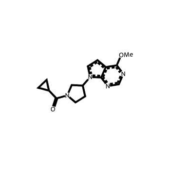 COc1ncnc2c1ccn2C1CCN(C(=O)C2CC2)C1